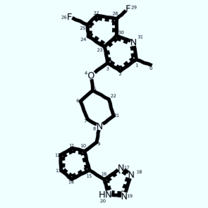 Cc1cc(OC2CCN(Cc3ccccc3-c3nnn[nH]3)CC2)c2cc(F)cc(F)c2n1